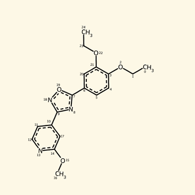 CCOc1ccc(-c2nc(-c3ccnc(OC)c3)no2)cc1OCC